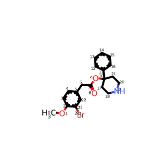 COc1ccc(CC(=O)OC2(c3ccccc3)CCNCC2)cc1Br